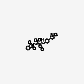 COc1ccc(-c2ccc(CC[C@@H](OC=O)[C@@H](CCN3C(=O)c4ccccc4C3=O)C(=O)O)cc2)cn1